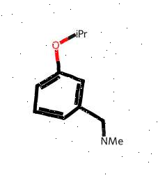 CNCc1cccc(OC(C)C)c1